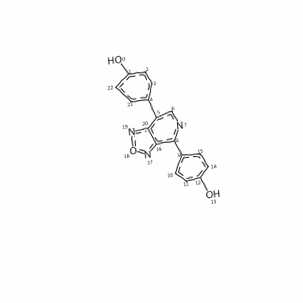 Oc1ccc(-c2cnc(-c3ccc(O)cc3)c3nonc23)cc1